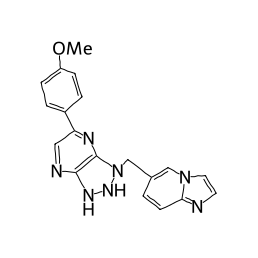 COc1ccc(-c2cnc3c(n2)N(Cc2ccc4nccn4c2)NN3)cc1